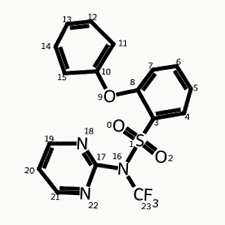 O=S(=O)(c1ccccc1Oc1ccccc1)N(c1ncccn1)C(F)(F)F